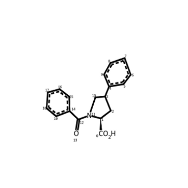 O=C(O)[C@@H]1CC(c2ccccc2)CN1C(=O)c1ccccc1